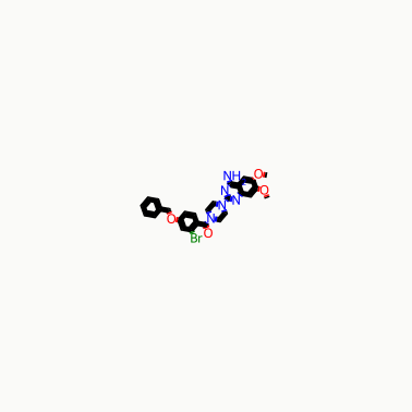 COc1cc2nc(N3CCN(C(=O)c4ccc(OCc5ccccc5)cc4Br)CC3)nc(N)c2cc1OC